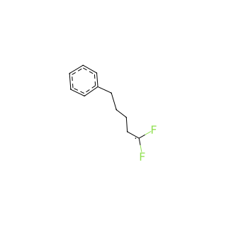 F[C](F)CCCCc1ccccc1